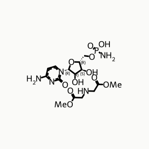 COC(=O)CNCC(=O)OC.Nc1ccn([C@@H]2O[C@H](COP(N)(=O)O)[C@@H](O)[C@H]2O)c(=O)n1